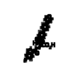 O=C(O)C(CCC(=O)N1CCc2cc(F)ccc21)NS(=O)(=O)c1ccc(-c2ccc(N3CCOCC3)cc2)cc1